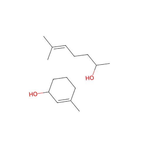 CC(C)=CCCC(C)O.CC1=CC(O)CCC1